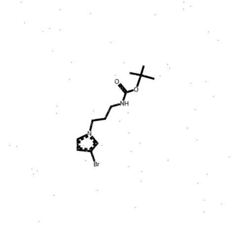 CC(C)(C)OC(=O)NCCCn1ccc(Br)c1